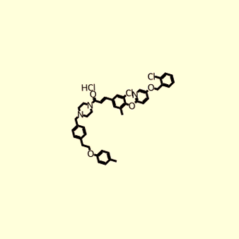 Cc1ccc(OCCc2ccc(CN3CCN(C(=O)C=Cc4cc(C)c(Oc5ccc(OCc6ccccc6Cl)cn5)c(Cl)c4)CC3)cc2)cc1.Cl